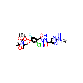 CC(C)Nc1ncc(C(=O)NNC(=O)c2cc(F)c(OC[C@H]3COC(C)(C)N3C(=O)OC(C)(C)C)cc2Cl)cn1